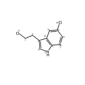 ClCCc1c[nH]c2ncc(Cl)cc12